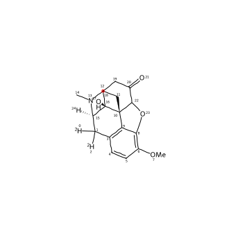 [2H]C1([2H])c2ccc(OC)c3c2[C@]24CCN(C)[C@H]1[C@]2(O)CCC(=O)C4O3